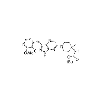 COc1nccc(Sc2n[nH]c3nc(N4CCC(C)(NC(=O)OC(C)(C)C)CC4)cnc23)c1Cl